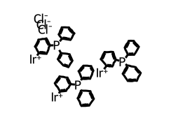 [Cl-].[Cl-].[Cl-].[Ir+][c]1cccc(P(c2ccccc2)c2ccccc2)c1.[Ir+][c]1cccc(P(c2ccccc2)c2ccccc2)c1.[Ir+][c]1cccc(P(c2ccccc2)c2ccccc2)c1